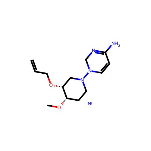 C=CCO[C@@H]1CN(N2C=CC(N)=NC2)CC[C@@H]1OC.[N]